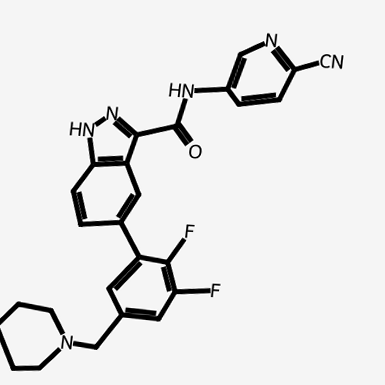 N#Cc1ccc(NC(=O)c2n[nH]c3ccc(-c4cc(CN5CCCCC5)cc(F)c4F)cc23)cn1